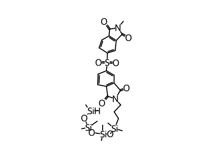 CN1C(=O)c2ccc(S(=O)(=O)c3ccc4c(c3)C(=O)N(CCC[Si](C)(C)O[Si](C)(C)O[Si](C)(C)O[SiH](C)C)C4=O)cc2C1=O